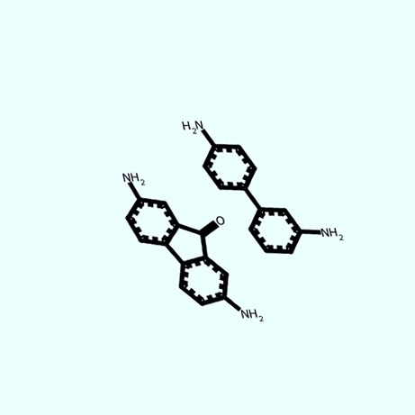 Nc1ccc(-c2cccc(N)c2)cc1.Nc1ccc2c(c1)C(=O)c1cc(N)ccc1-2